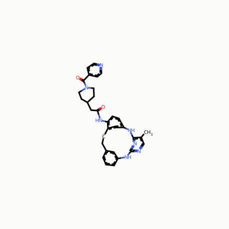 Cc1cnc2nc1Nc1ccc(NC(=O)CC3CCN(C(=O)c4ccncc4)CC3)c(c1)CCc1cccc(c1)N2